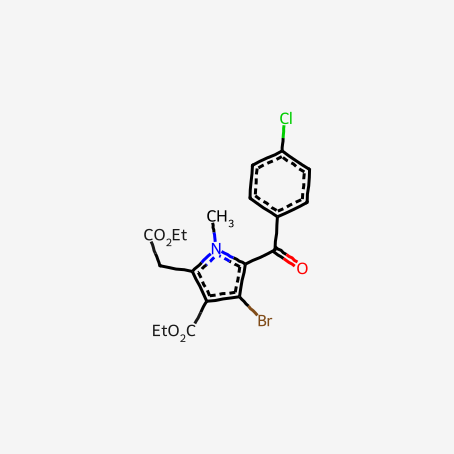 CCOC(=O)Cc1c(C(=O)OCC)c(Br)c(C(=O)c2ccc(Cl)cc2)n1C